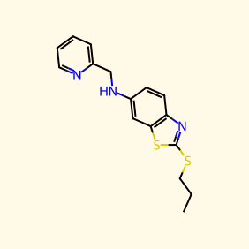 CCCSc1nc2ccc(NCc3ccccn3)cc2s1